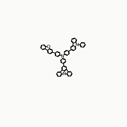 c1ccc(-n2c3ccccc3c3cc(-c4ccc(N(c5ccc(-c6ccc7c(c6)oc6ccccc67)cc5)c5ccc(-c6cc7c8ccccc8n8c9ccccc9c(c6)c78)cc5)cc4)ccc32)cc1